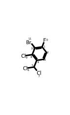 Fc1c[c]c(C(Cl)Cl)c(Cl)c1Br